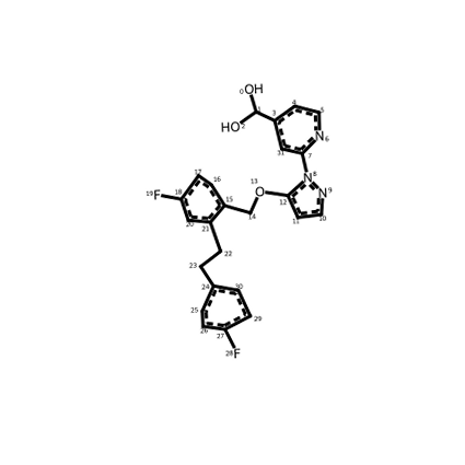 OC(O)c1ccnc(-n2nccc2OCc2ccc(F)cc2CCc2ccc(F)cc2)c1